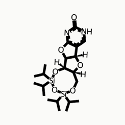 CC(C)[Si]1(C(C)C)OC[C@H]2O[C@H]3c4c[nH]c(=O)nc4OC3[C@H]2O[Si](C(C)C)(C(C)C)O1